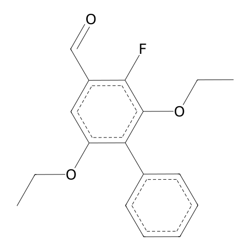 CCOc1cc(C=O)c(F)c(OCC)c1-c1ccccc1